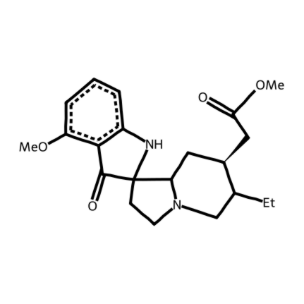 CCC1CN2CCC3(Nc4cccc(OC)c4C3=O)C2C[C@H]1CC(=O)OC